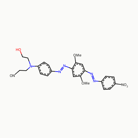 COc1cc(/N=N/c2ccc([N+](=O)[O-])cc2)c(OC)cc1/N=N/c1ccc(N(CCO)CCN=O)cc1